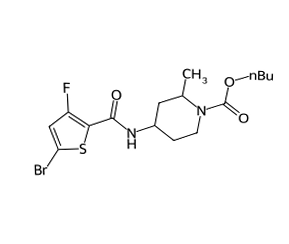 CCCCOC(=O)N1CCC(NC(=O)c2sc(Br)cc2F)CC1C